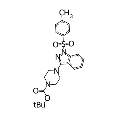 Cc1ccc(S(=O)(=O)n2nc(N3CCN(C(=O)OC(C)(C)C)CC3)c3ccccc32)cc1